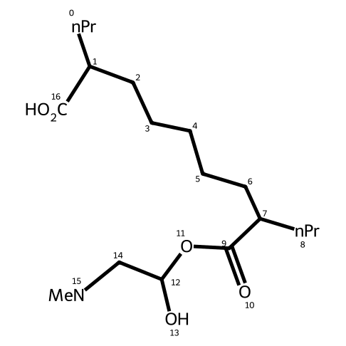 CCCC(CCCCCC(CCC)C(=O)OC(O)CNC)C(=O)O